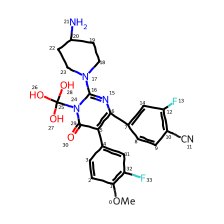 COc1ccc(-c2c(-c3ccc(C#N)c(F)c3)nc(N3CCC(N)CC3)n(C(O)(O)O)c2=O)cc1F